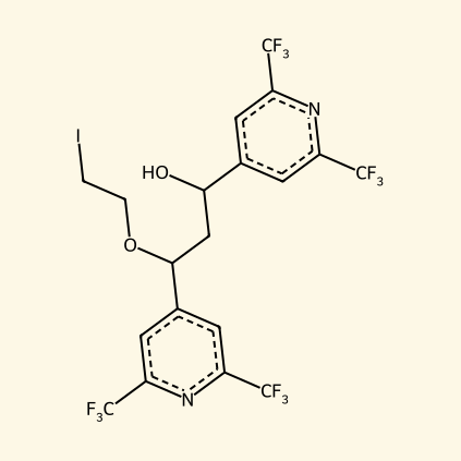 OC(CC(OCCI)c1cc(C(F)(F)F)nc(C(F)(F)F)c1)c1cc(C(F)(F)F)nc(C(F)(F)F)c1